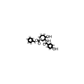 O=C(NC1CN(C(=O)OCc2ccccc2)CCCC1O)c1ccc(O)cc1